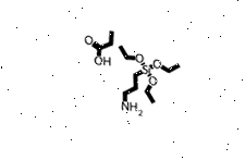 CCC(=O)O.CCO[Si](CCCN)(OCC)OCC